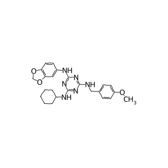 COc1ccc(CNc2nc(Nc3ccc4c(c3)OCO4)nc(NC3CCCCC3)n2)cc1